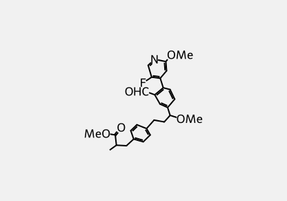 COC(=O)C(C)Cc1ccc(CCC(OC)c2ccc(-c3cc(OC)ncc3F)c(C=O)c2)cc1